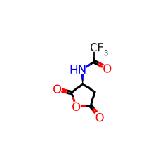 O=C1C[C@H](NC(=O)C(F)(F)F)C(=O)O1